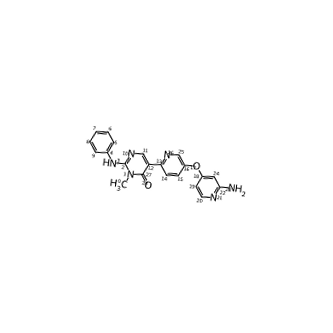 Cn1c(Nc2ccccc2)ncc(-c2ccc(Oc3ccnc(N)c3)cn2)c1=O